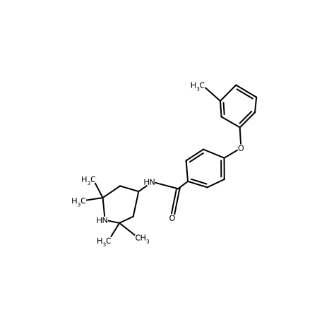 Cc1cccc(Oc2ccc(C(=O)NC3CC(C)(C)NC(C)(C)C3)cc2)c1